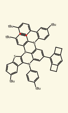 CC(C)(C)c1ccc(-c2cc(C(C)(C)C)ccc2N2c3ccc(C(C)(C)C)cc3B3c4sc5ccc(C(C)(C)C)cc5c4N(c4ccc(C(C)(C)C)cc4)c4cc(-c5c6c(cc7c5CC7)CC6)cc2c43)cc1